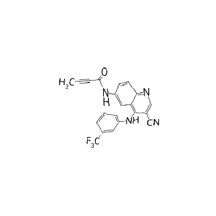 CC#CC(=O)Nc1ccc2ncc(C#N)c(Nc3cccc(C(F)(F)F)c3)c2c1